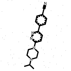 CC(C)N1CCN(c2ccc(-c3ccc(C#N)cc3)nn2)CC1